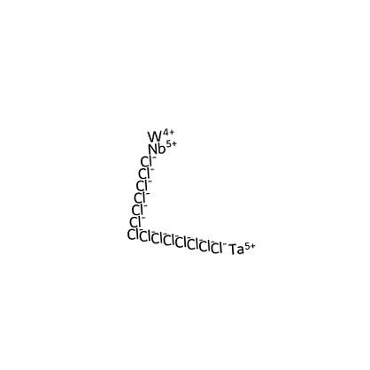 [Cl-].[Cl-].[Cl-].[Cl-].[Cl-].[Cl-].[Cl-].[Cl-].[Cl-].[Cl-].[Cl-].[Cl-].[Cl-].[Cl-].[Nb+5].[Ta+5].[W+4]